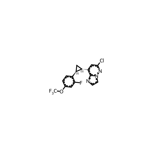 Fc1cc(OC(F)(F)F)ccc1[C@H]1C[C@@H]1c1cc(Cl)nn2ccnc12